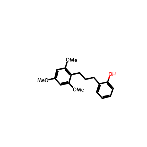 COc1cc(OC)c(CCCc2ccccc2O)c(OC)c1